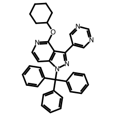 c1ccc(C(c2ccccc2)(c2ccccc2)n2nc(-c3cncnc3)c3c(OC4CCCCC4)nccc32)cc1